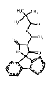 CC(OC(=O)C(C)(C)C)N1C(=O)NC2(C1=O)c1ccccc1-c1ccccc12